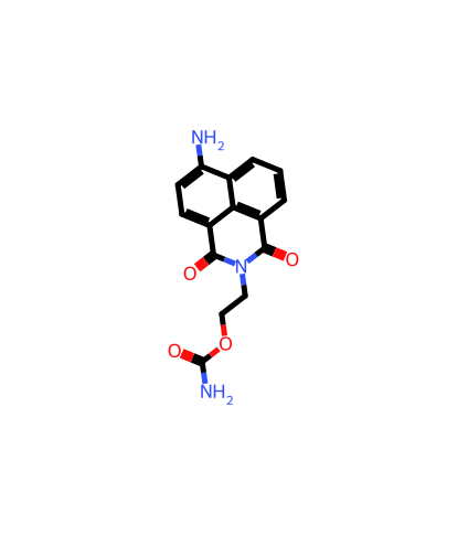 NC(=O)OCCN1C(=O)c2cccc3c(N)ccc(c23)C1=O